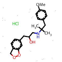 COc1ccc(CC(C)(C)NCC(O)Cc2ccc3c(c2)OOC3)cc1.Cl